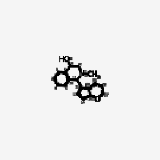 CN1CC(O)c2ccccc2C1c1ccc2occcc1-2